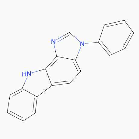 c1ccc(-n2cnc3c4[nH]c5ccccc5c4ccc32)cc1